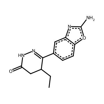 CCC1CC(=O)NN=C1c1ccc2oc(N)nc2c1